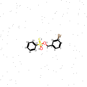 O=S(=S)(OCc1cccc(Br)c1)c1ccccc1